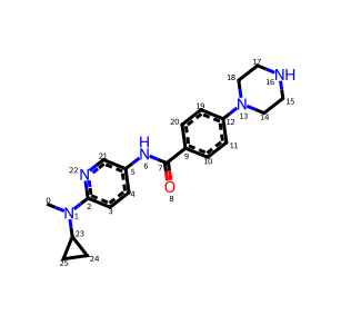 CN(c1ccc(NC(=O)c2ccc(N3CCNCC3)cc2)cn1)C1CC1